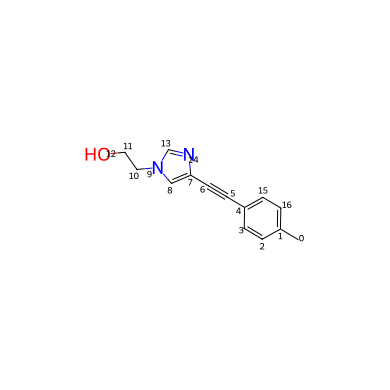 Cc1ccc(C#Cc2cn(CCO)cn2)cc1